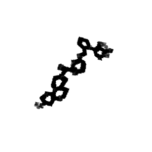 O=C(c1nccc(OCC2CCCN2c2cn[nH]c(=O)c2C(F)(F)F)n1)N1CCN2c3ncc(C(F)(F)F)cc3OCCC2C1